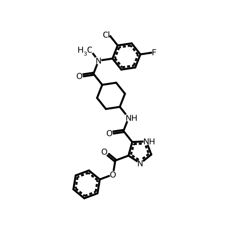 CN(C(=O)C1CCC(NC(=O)c2[nH]cnc2C(=O)Oc2ccccc2)CC1)c1ccc(F)cc1Cl